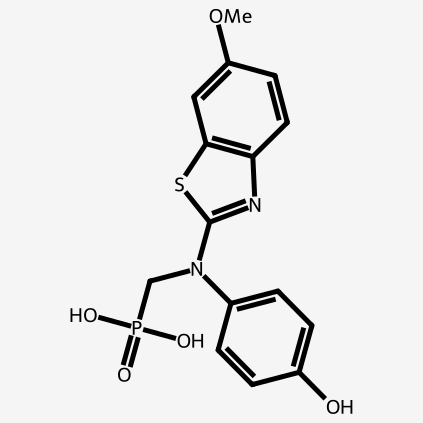 COc1ccc2nc(N(CP(=O)(O)O)c3ccc(O)cc3)sc2c1